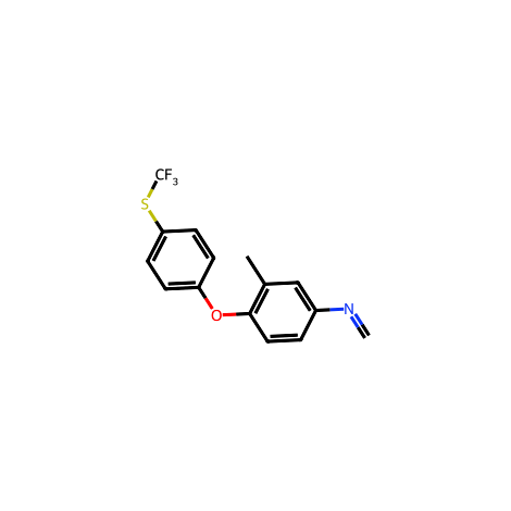 C=Nc1ccc(Oc2ccc(SC(F)(F)F)cc2)c(C)c1